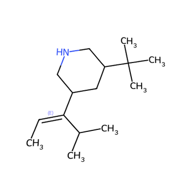 C/C=C(\C(C)C)C1CNCC(C(C)(C)C)C1